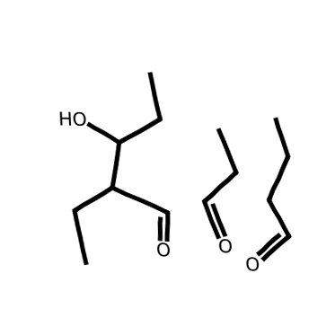 CCC(O)C(C=O)CC.CCC=O.CCCC=O